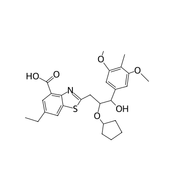 CCc1cc(C(=O)O)c2nc(CC(OC3CCCC3)C(O)c3cc(OC)c(C)c(OC)c3)sc2c1